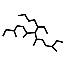 CCCCC(CC)C(C(C)CCC(C)CC)C(C)CCC(C)CC